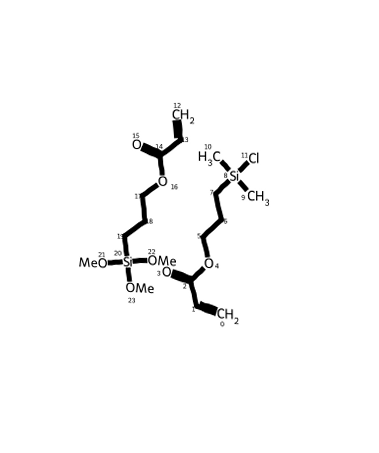 C=CC(=O)OCCC[Si](C)(C)Cl.C=CC(=O)OCCC[Si](OC)(OC)OC